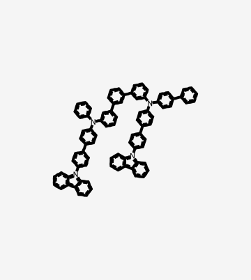 c1ccc(-c2ccc(N(c3ccc(-c4ccc(-n5c6ccccc6c6ccccc65)cc4)cc3)c3cccc(-c4cccc(-c5cccc(N(c6ccccc6)c6ccc(-c7ccc(-n8c9ccccc9c9ccccc98)cc7)cc6)c5)c4)c3)cc2)cc1